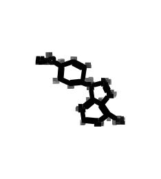 CCc1n[c]nc2c1nnn2-c1ccc(OC)cc1